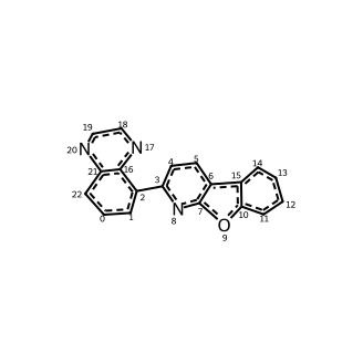 c1cc(-c2ccc3c(n2)oc2ccccc23)c2nccnc2c1